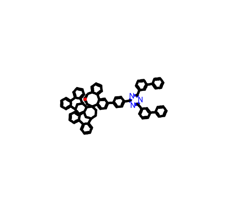 c1ccc(-c2cccc(-c3nc(-c4ccc(-c5ccc6c(c5)-c5ccccc5C5CCC67CCC6CC8(CC9CC(C5)(c5ccccc5-c5ccccc59)C78)c5ccccc5-c5ccccc56)cc4)nc(-c4cccc(-c5ccccc5)c4)n3)c2)cc1